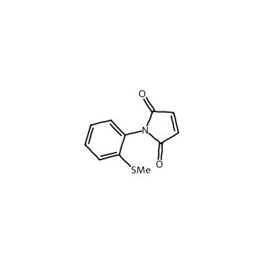 CSc1ccccc1N1C(=O)C=CC1=O